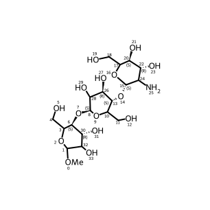 COC1OC(CO)[C@@H](O[C@@H]2OC(CO)[C@@H](O[C@@H]3OC(CO)[C@@H](O)[C@H](O)C3N)[C@H](O)C2O)[C@H](O)C1O